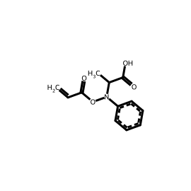 C=CC(=O)ON(c1ccccc1)C(C)C(=O)O